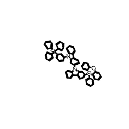 c1ccc([Si](c2ccccc2)(c2ccccc2)c2cccc(-n3c4ccccc4c4ccc(-n5c6ccccc6c6ccc([Si]7(c8ccccc8)c8ccccc8Oc8ccccc87)cc65)cc43)c2)cc1